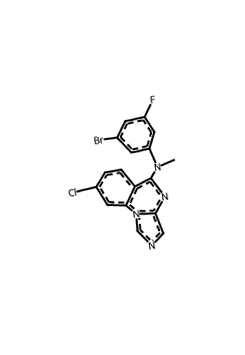 CN(c1cc(F)cc(Br)c1)c1nc2cncn2c2cc(Cl)ccc12